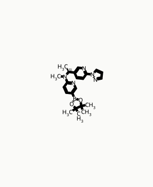 C[C@@H](c1ccc(-n2cccn2)nc1)N(C)c1ccc(B2OC(C)(C)C(C)(C)O2)cn1